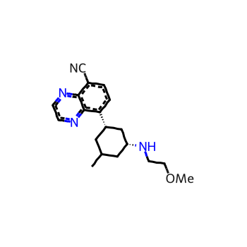 COCCN[C@@H]1CC(C)C[C@H](c2ccc(C#N)c3nccnc23)C1